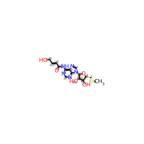 CSC[C@H]1O[C@@H](n2cnc3c(NC(=O)/C=C/CO)ncnc32)[C@H](O)[C@@H]1O